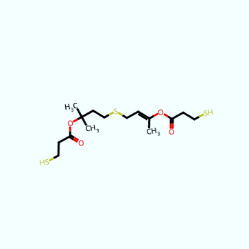 C/C(=C\CSCCC(C)(C)OC(=O)CCS)OC(=O)CCS